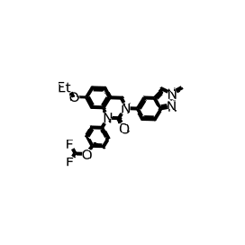 CCOc1ccc2c(c1)N(c1ccc(OC(F)F)cc1)C(=O)N(c1ccc3nn(C)cc3c1)C2